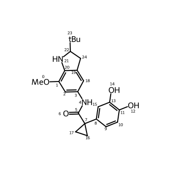 COc1cc(NC(=O)C2(c3ccc(O)c(O)c3)CC2)cc2c1NC(C(C)(C)C)C2